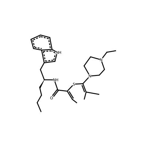 C/C=C(\SC(=C(C)C)N1CCN(CC)CC1)C(=O)N[C@@H](CCCC)Cc1c[nH]c2ccccc12